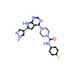 Cn1cc(-c2cc3c(N4CCN(C(=O)Nc5ccc(F)cc5)CC4)ncnc3[nH]2)cn1